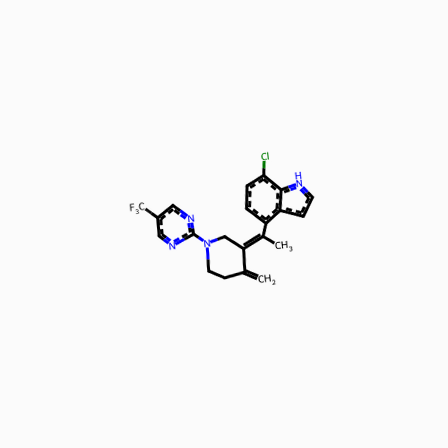 C=C1CCN(c2ncc(C(F)(F)F)cn2)C/C1=C(/C)c1ccc(Cl)c2[nH]ccc12